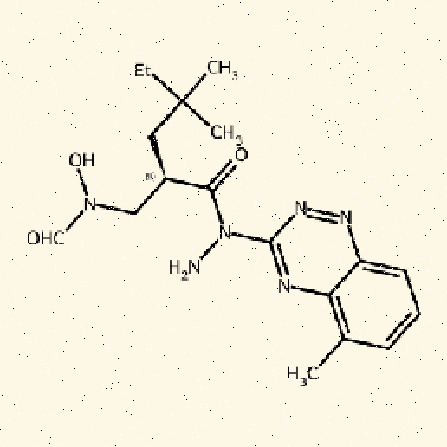 CCC(C)(C)C[C@H](CN(O)C=O)C(=O)N(N)c1nnc2cccc(C)c2n1